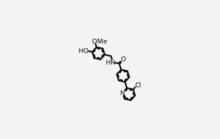 COc1cc(CNC(=O)c2ccc(-c3ncccc3Cl)cc2)ccc1O